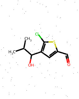 CC(C)C(O)c1cc(C=O)sc1Cl